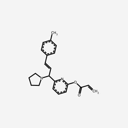 C=CC(=O)Oc1cccc(C(/C=C/c2ccc(C)cc2)N2CCCC2)n1